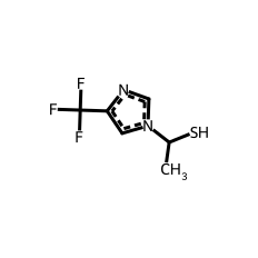 CC(S)n1cnc(C(F)(F)F)c1